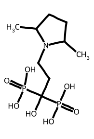 CC1CCC(C)N1CCC(O)(P(=O)(O)O)P(=O)(O)O